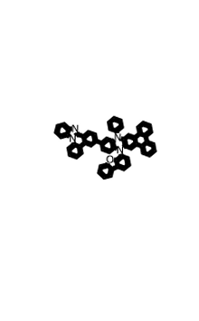 c1ccc(N2c3cc(-c4ccc5c(c4)c4ccccc4n4c6ccccc6nc54)ccc3N(c3cccc4c3oc3ccccc34)c3cc4c5ccccc5c5ccccc5c4cc32)cc1